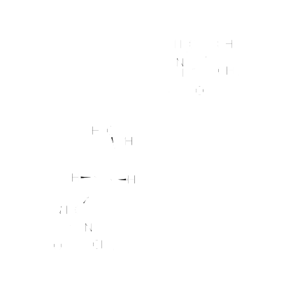 CN1C(=O)CC[C@@]2(C)C1CC[C@@H]1[C@H]2CC[C@]2(C)C(=Cc3ccc(NC(=O)C(C)(C)C)cc3)CC[C@@H]12